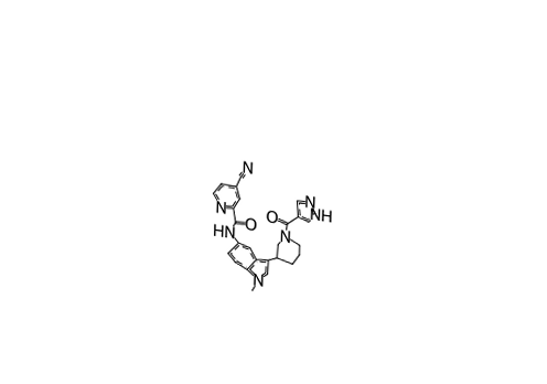 Cn1cc(C2CCCN(C(=O)c3cn[nH]c3)C2)c2cc(NC(=O)c3cc(C#N)ccn3)ccc21